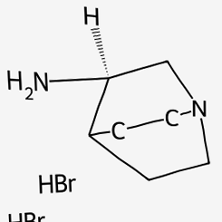 Br.Br.N[C@H]1CN2CCC1CC2